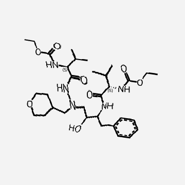 CCOC(=O)N[C@H](C(=O)NC(Cc1ccccc1)C(O)CN(CC1CCOCC1)NC(=O)[C@@H](NC(=O)OCC)C(C)C)C(C)C